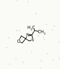 CC(C)C1=NC2(COC2)CS1